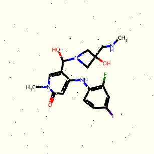 CNCC1(O)CN(C(O)c2cn(C)c(=O)cc2Nc2ccc(I)cc2F)C1